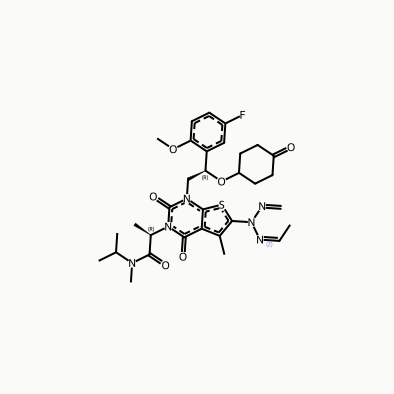 C=NN(/N=C\C)c1sc2c(c1C)c(=O)n([C@H](C)C(=O)N(C)C(C)C)c(=O)n2C[C@H](OC1CCC(=O)CC1)c1cc(F)ccc1OC